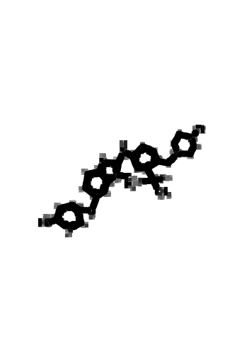 CCN1CCN(Cc2ccc(Nc3nc4ccc(Oc5ccc(O)nc5)cc4n3C)cc2C(C)(F)F)CC1